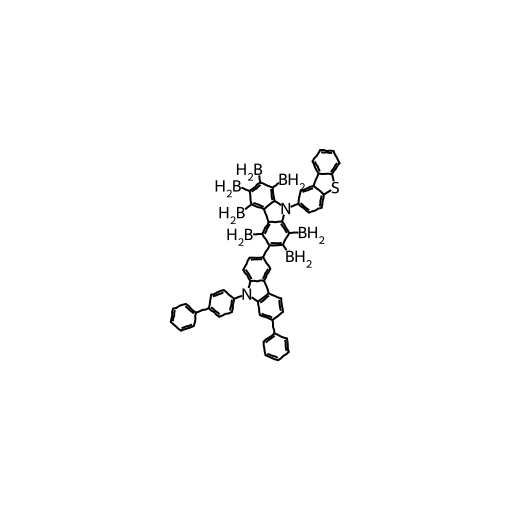 Bc1c(B)c(B)c2c(c1B)c1c(B)c(-c3ccc4c(c3)c3ccc(-c5ccccc5)cc3n4-c3ccc(-c4ccccc4)cc3)c(B)c(B)c1n2-c1ccc2sc3ccccc3c2c1